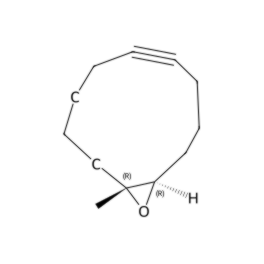 C[C@@]12CCCCC#CCCC[C@H]1O2